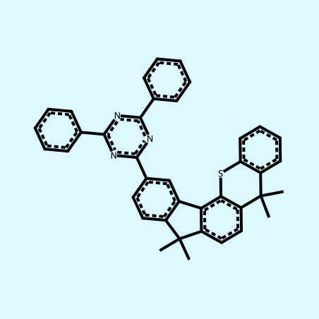 CC1(C)c2ccccc2Sc2c1ccc1c2-c2cc(-c3nc(-c4ccccc4)nc(-c4ccccc4)n3)ccc2C1(C)C